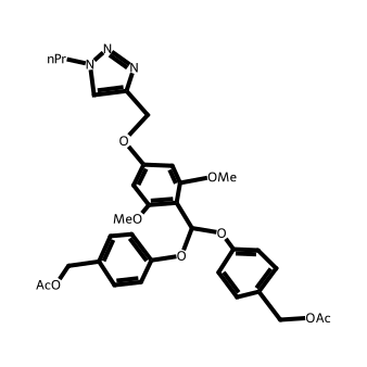 CCCn1cc(COc2cc(OC)c(C(Oc3ccc(COC(C)=O)cc3)Oc3ccc(COC(C)=O)cc3)c(OC)c2)nn1